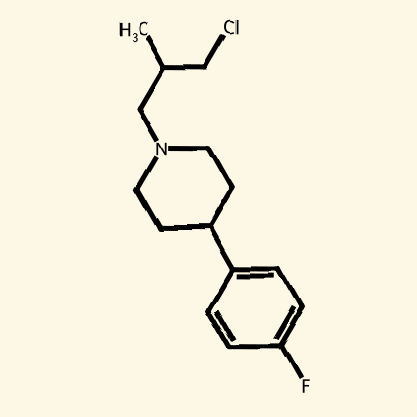 CC(CCl)CN1CCC(c2ccc(F)cc2)CC1